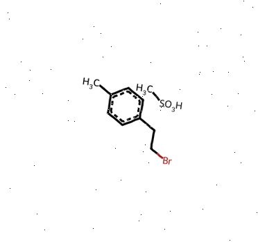 CS(=O)(=O)O.Cc1ccc(CCBr)cc1